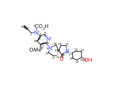 C#CCN(C(=O)O)c1cnc(N2CCC[C@@]3(CCN([C@H]4CC[C@H](O)CC4)C3=O)C2)c(OC)c1